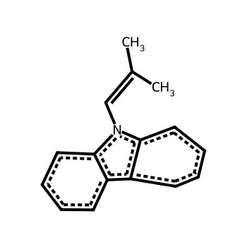 CC(C)=Cn1c2ccccc2c2ccccc21